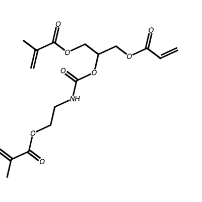 C=CC(=O)OCC(COC(=O)C(=C)C)OC(=O)NCCOC(=O)C(=C)C